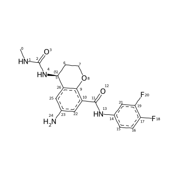 CNC(=O)N[C@H]1CCOc2c(C(=O)Nc3ccc(F)c(F)c3)cc(N)cc21